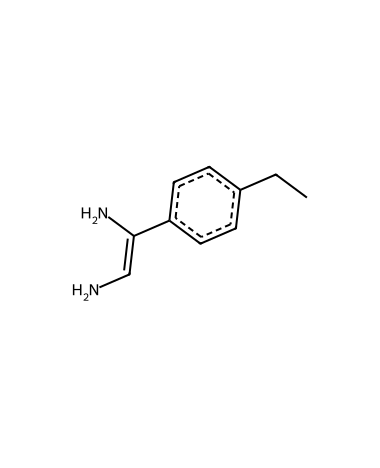 CCc1ccc(/C(N)=C/N)cc1